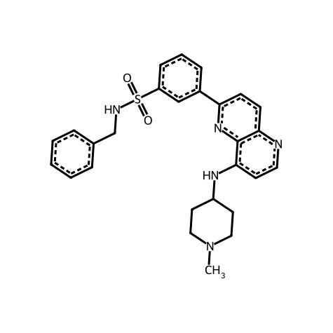 CN1CCC(Nc2ccnc3ccc(-c4cccc(S(=O)(=O)NCc5ccccc5)c4)nc23)CC1